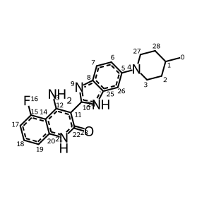 CC1CCN(c2ccc3nc(-c4c(N)c5c(F)cccc5[nH]c4=O)[nH]c3c2)CC1